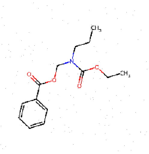 CCCN(COC(=O)c1ccccc1)C(=O)OCC